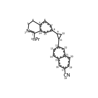 CCCC1=NCCc2ccc(C3CC3c3ccc4cc(C#N)ccc4c3)cc21